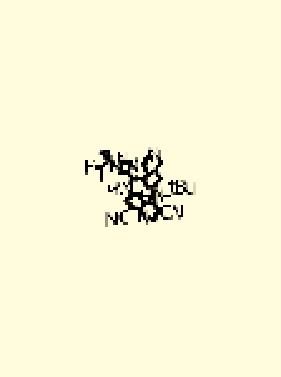 CC(C)(C)CNc1c(C#N)cnc2c(C#N)cc(N[C@H](c3cn(C4(C(F)F)CC4)nn3)c3cccc4cnccc34)cc12